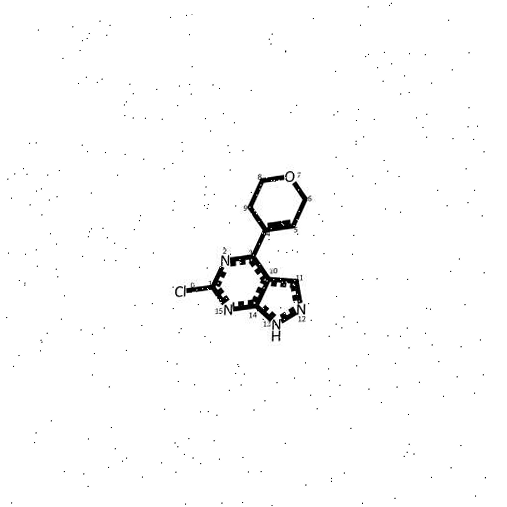 Clc1nc(C2=CCOCC2)c2cn[nH]c2n1